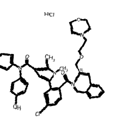 Cc1c(C(=O)N(c2ccccc2)c2ccc(O)cc2)cc(-c2cc(Cl)ccc2C(=O)N2Cc3ccccc3C[C@@H]2COCCN2CCOCC2)n1C.Cl